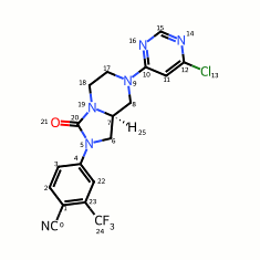 N#Cc1ccc(N2C[C@@H]3CN(c4cc(Cl)ncn4)CCN3C2=O)cc1C(F)(F)F